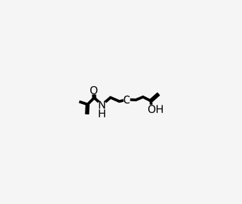 C=C(O)CCCCCNC(=O)C(=C)C